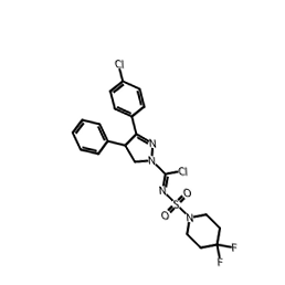 O=S(=O)(N=C(Cl)N1CC(c2ccccc2)C(c2ccc(Cl)cc2)=N1)N1CCC(F)(F)CC1